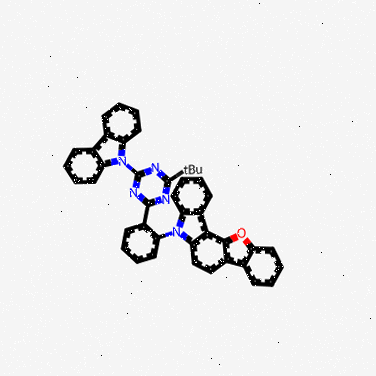 CC(C)(C)c1nc(-c2ccccc2-n2c3ccccc3c3c4oc5ccccc5c4ccc32)nc(-n2c3ccccc3c3ccccc32)n1